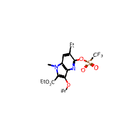 CCOC(=O)c1c(OC(C)C)c2nc(OS(=O)(=O)C(F)(F)F)c(CC)cc2n1C